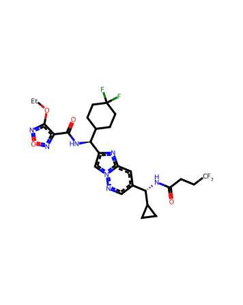 CCOc1nonc1C(=O)N[C@H](c1cn2ncc([C@H](NC(=O)CCC(F)(F)F)C3CC3)cc2n1)C1CCC(F)(F)CC1